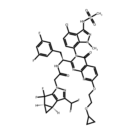 Cn1nc(NS(C)(=O)=O)c2c(Cl)ccc(-n3c([C@H](Cc4cc(F)cc(F)c4)NC(=O)Cn4nc(C(F)F)c5c4C(F)(F)[C@@H]4C[C@H]54)nc4nc(OCCOC5CC5)ccc4c3=O)c21